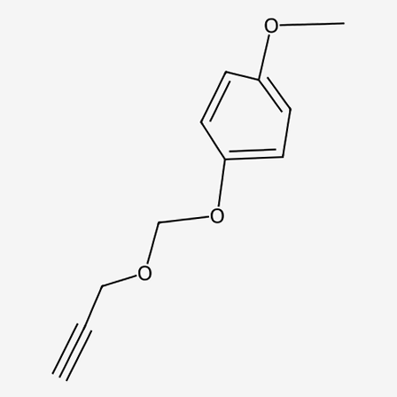 C#CCOCOc1ccc(OC)cc1